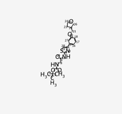 CC(C)(C)OC(=O)NCC(=O)Nc1nc(-c2cccc(OCC3CCOC3)c2)cs1